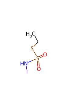 CCSS(=O)(=O)NI